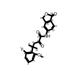 COc1cccc(F)c1C(C)(C)CC(=O)C(=O)Nc1ccc2c(c1)COC2=O